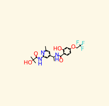 Cc1cc(C(C)NC(=O)c2ccc(OCC(F)(F)F)cc2O)cc(NC(=O)C(C)(C)O)n1